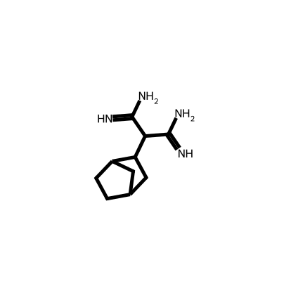 N=C(N)C(C(=N)N)C1CC2CCC1C2